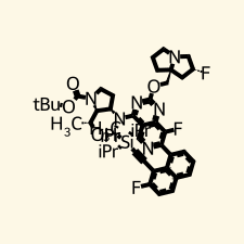 CC(C)[Si](C#Cc1c(F)ccc2cccc(-c3ncc4c(N(C)[C@@H]5CCN(C(=O)OC(C)(C)C)[C@@H]5[C@@H](C)O)nc(OC[C@@]56CCCN5C[C@H](F)C6)nc4c3F)c12)(C(C)C)C(C)C